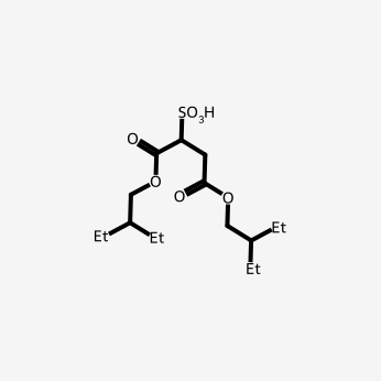 CCC(CC)COC(=O)CC(C(=O)OCC(CC)CC)S(=O)(=O)O